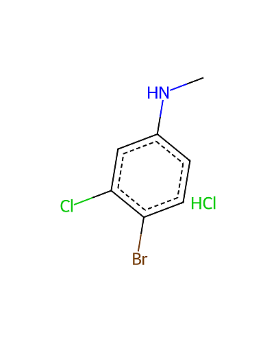 CNc1ccc(Br)c(Cl)c1.Cl